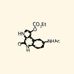 CCOC(=O)Oc1c[nH]c2c(=O)[nH]c3ccc(NC(C)=O)cc3c12